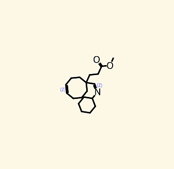 COC(=O)CCC1(/C=N\C2CCCCC2)CC/C=C\CCC1